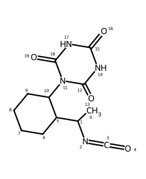 CC(N=C=O)C1CCCCC1n1c(=O)[nH]c(=O)[nH]c1=O